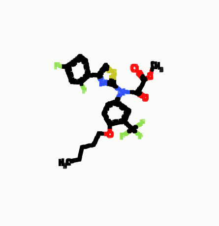 CCCCCOc1ccc(N(C(=O)C(=O)OC)c2nc(-c3ccc(F)cc3F)cs2)cc1C(F)(F)F